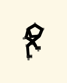 OCC1(O)OC2CCC1C2